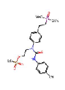 COP(=O)(CCc1ccc(N(CCOS(C)(=O)=O)C(=O)Nc2ccc(C#N)cc2)cc1)OC